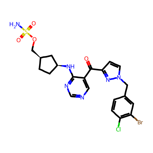 NS(=O)(=O)OC[C@@H]1CC[C@H](Nc2ncncc2C(=O)c2ccn(Cc3ccc(Cl)c(Br)c3)n2)C1